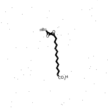 CCCCC1OC12OC2CCCCCCCCCCCCC(=O)O